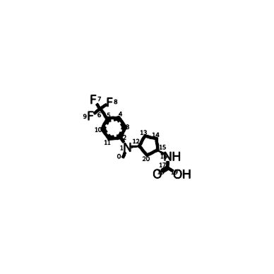 CN(c1ccc(C(F)(F)F)cc1)[C@H]1CC[C@@H](NC(=O)O)C1